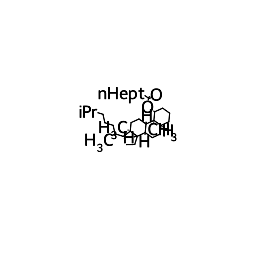 CCCCCCCC(=O)OC1CCC[C@H]2CC[C@H]3[C@@H]4CC[C@H]([C@H](C)CCCC(C)C)[C@@]4(C)CC[C@@H]3[C@@]12C